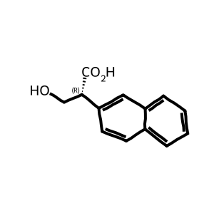 O=C(O)[C@@H](CO)c1ccc2ccccc2c1